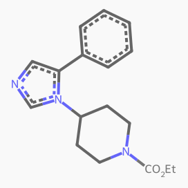 CCOC(=O)N1CCC(n2cncc2-c2ccccc2)CC1